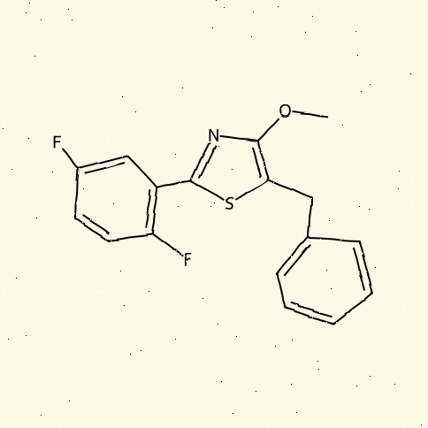 COc1nc(-c2cc(F)ccc2F)sc1Cc1ccccc1